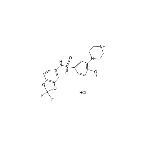 COc1ccc(S(=O)(=O)Nc2ccc3c(c2)OC(F)(F)O3)cc1N1CCNCC1.Cl